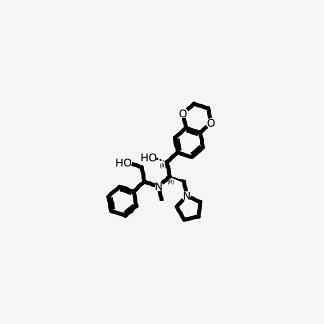 CN(C(CO)c1ccccc1)[C@H](CN1CCCC1)[C@H](O)c1ccc2c(c1)OCCO2